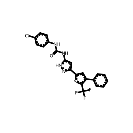 O=C(Nc1ccc(Cl)cc1)Nc1cc(-c2cc(-c3ccccc3)c(C(F)(F)F)s2)n[nH]1